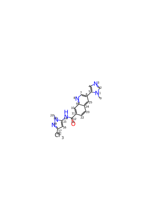 Cn1cncc1-c1cnc2cc(C(=O)Nc3cc(C(F)(F)F)nn3C)ccc2c1